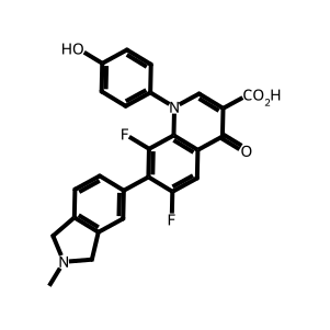 CN1Cc2ccc(-c3c(F)cc4c(=O)c(C(=O)O)cn(-c5ccc(O)cc5)c4c3F)cc2C1